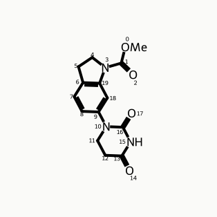 COC(=O)N1CCc2ccc(N3CCC(=O)NC3=O)cc21